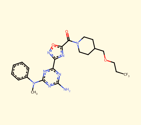 CN(c1ccccc1)c1nc(N)nc(-c2noc(C(=O)N3CCC(COCCC(F)(F)F)CC3)n2)n1